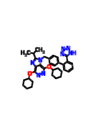 CC(C)c1nc2c(OC3CCCCC3)nnc(OC3CCCCC3)c2n1Cc1ccc(-c2ccccc2-c2nnn[nH]2)cc1